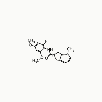 COc1cc(F)c(NC(=O)N2Cc3cccc(C)c3C2)c(OC)c1